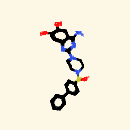 Nc1nc(N2CCN([S+]([O-])c3ccc(-c4ccccc4)cc3)CC2)nc2cc(O)c(O)cc12